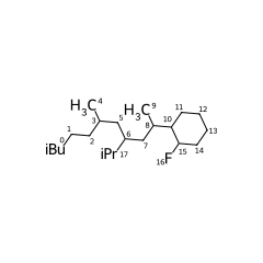 CCC(C)CCC(C)CC(CC(C)C1CCCCC1F)C(C)C